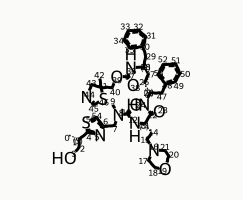 C[C@@H](CO)c1nc(CN(C)C(=O)N[C@@H](CCN2CCOCC2)C(=O)N[C@H](CC[C@H](Cc2ccccc2)NC(=O)OCC2(C)CN=CS2)Cc2ccccc2)cs1